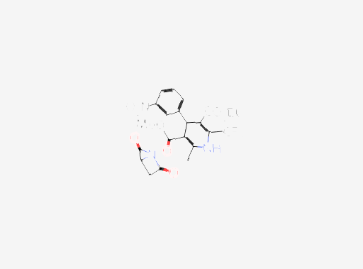 CCOC(=O)C1=C(C(F)(F)F)NC(C)=C(C(=O)OC)C1c1cccc([N+](=O)[O-])c1.O=C1CC2C(=O)N12